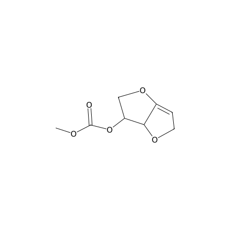 COC(=O)OC1COC2=CCOC21